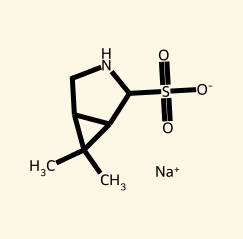 CC1(C)C2CNC(S(=O)(=O)[O-])C21.[Na+]